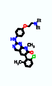 CCN(CC)CCOc1ccc(Nc2ncc3cc(-c4c(C)cccc4Cl)c(=O)n(C)c3n2)cc1